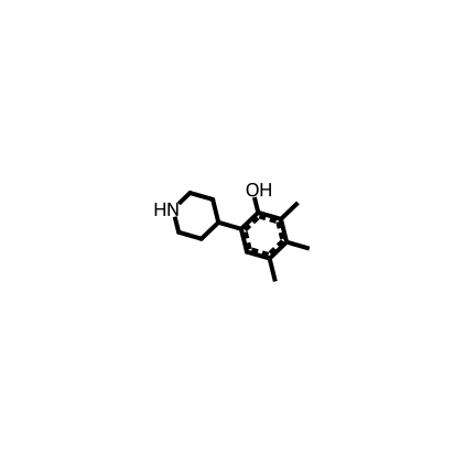 Cc1cc(C2CCNCC2)c(O)c(C)c1C